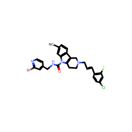 N#Cc1ccc2c3c(n(C(=O)NCc4ccnc(Br)c4)c2c1)CCN(C/C=C/c1ccc(Cl)cc1F)C3